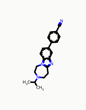 CC(C)N1CCc2nc3cc(-c4ccc(C#N)cc4)ccc3n2CC1